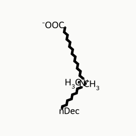 CCCCCCCCCCCCCCCCCC[N+](C)(C)CCCCCCCCCCCCCCCC(=O)[O-]